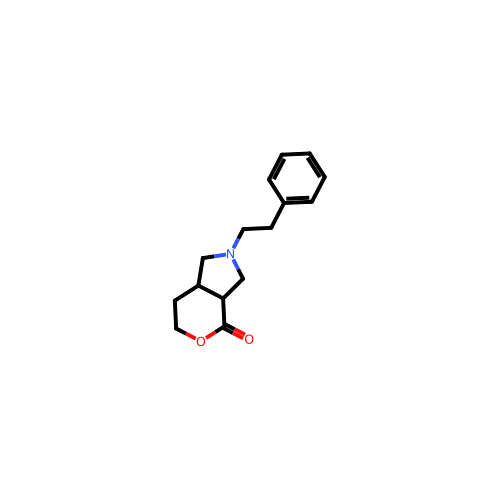 O=C1OCCC2CN(CCc3ccccc3)CC12